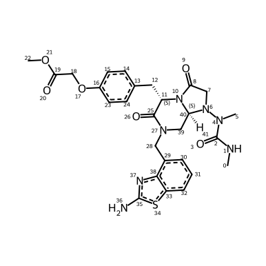 CNC(=O)N(C)N1CC(=O)N2[C@@H](Cc3ccc(OCC(=O)OC)cc3)C(=O)N(Cc3cccc4sc(N)nc34)C[C@@H]21